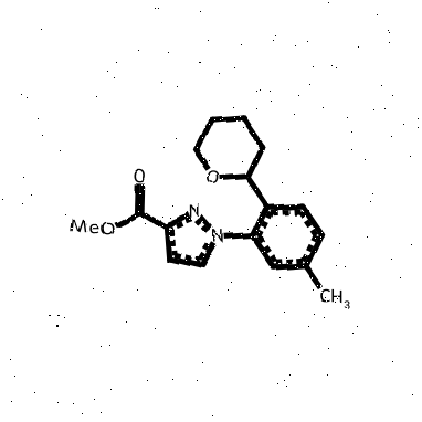 COC(=O)c1ccn(-c2cc(C)ccc2C2CCCCO2)n1